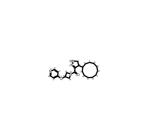 O=C(C1=NNCC1C1CCCCCCCCCC1)N1CC(Oc2ccncc2)C1